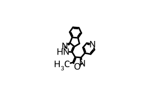 Cc1onc(-c2ccncc2)c1-c1[nH]nc2c1Cc1ccccc1-2